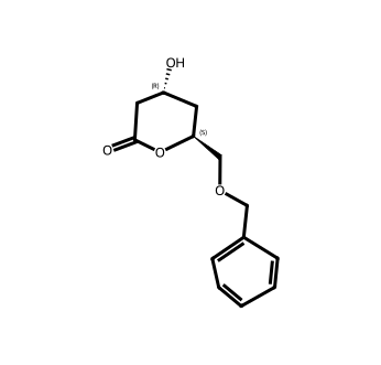 O=C1C[C@H](O)C[C@@H](COCc2ccccc2)O1